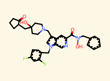 O=C1CCCC1CC1(O)CCN(Cc2cn(Cc3ccc(F)cc3F)c3cnc(C(=O)N(O)Cc4ccccc4)cc23)CC1